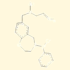 C=CCN(Cc1ccc2c(c1)CN([S+]([O-])c1ccccc1)CCO2)C(C)=O